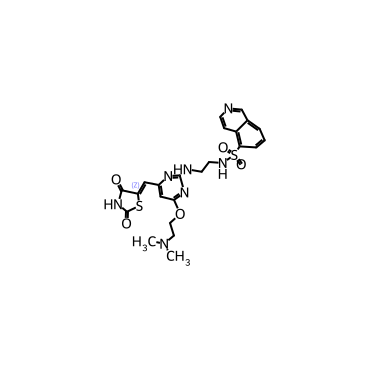 CN(C)CCOc1cc(/C=C2\SC(=O)NC2=O)nc(NCCNS(=O)(=O)c2cccc3cnccc23)n1